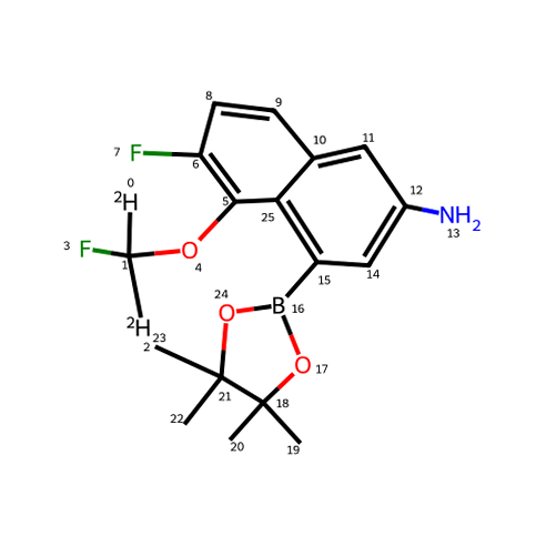 [2H]C([2H])(F)Oc1c(F)ccc2cc(N)cc(B3OC(C)(C)C(C)(C)O3)c12